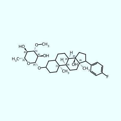 CO[C@@H]1[C@@H](O)[C@H](OC2CC[C@@]3(C)C(CC[C@@H]4[C@H]3CC[C@]3(C)C(c5ccc(F)cc5)CC[C@@]43O)C2)O[C@H](C)[C@H]1O